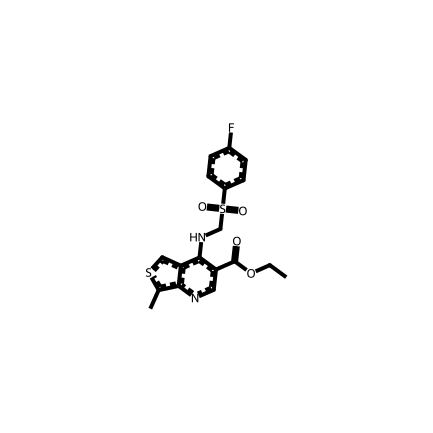 CCOC(=O)c1cnc2c(C)scc2c1NCS(=O)(=O)c1ccc(F)cc1